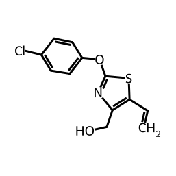 C=Cc1sc(Oc2ccc(Cl)cc2)nc1CO